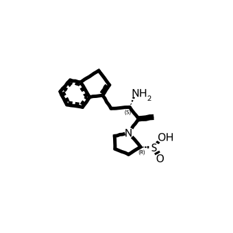 C=C([C@@H](N)CC1=CCc2ccccc21)N1CCC[C@H]1S(=O)O